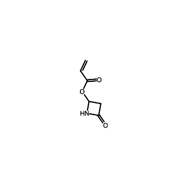 C=CC(=O)OC1CC(=O)N1